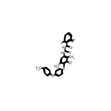 Cc1cc(NC(=O)NC(=O)c2c(F)cccc2F)c(C)c(Cl)c1Oc1ccc(Oc2ccc(C(F)(F)F)cc2)cc1